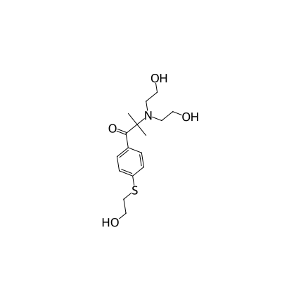 CC(C)(C(=O)c1ccc(SCCO)cc1)N(CCO)CCO